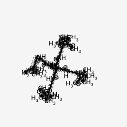 CC(=O)NC1C(OC(C)=O)[C@@H](OC(C)=O)C(COC(C)=O)O[C@H]1OCCCCCCNC(=O)CCOCC(COCCC(=O)NCCCCCCO[C@@H]1OC(COC(C)=O)[C@H](OC(C)=O)C(OC(C)=O)C1NC(C)=O)(COCCC(=O)NCCCCCCO[C@@H]1OC(COC(C)=O)[C@H](OC(C)=O)C(OC(C)=O)C1NC(C)=O)Cn1cc(CNC(=O)CCCC(=O)NCCCCCCOP(OCCC#N)N(C(C)C)C(C)C)nn1